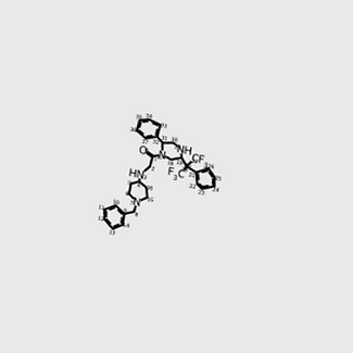 O=C(CNC1CCN(Cc2ccccc2)CC1)N1CC(C(c2ccccc2)(C(F)(F)F)C(F)(F)F)NCC1c1ccccc1